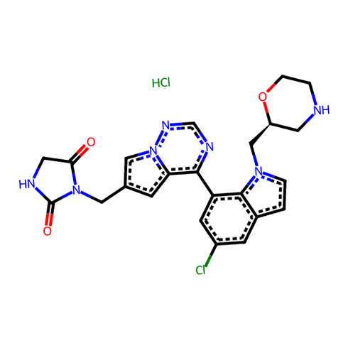 Cl.O=C1CNC(=O)N1Cc1cc2c(-c3cc(Cl)cc4ccn(C[C@@H]5CNCCO5)c34)ncnn2c1